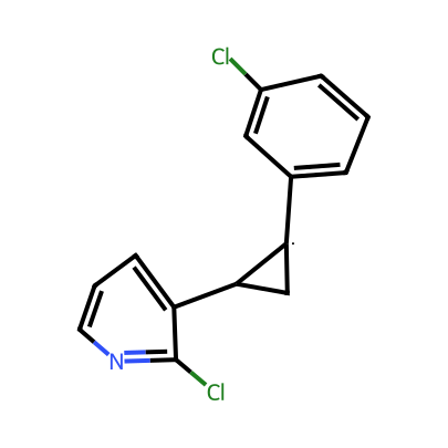 Clc1cccc([C]2CC2c2cccnc2Cl)c1